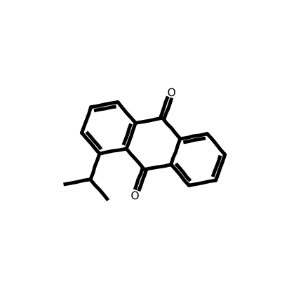 CC(C)c1cccc2c1C(=O)c1ccccc1C2=O